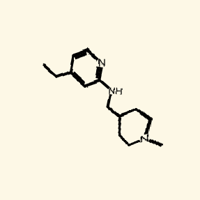 CCc1ccnc(NCC2CCN(C)CC2)c1